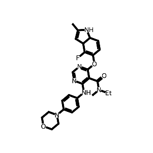 CCN(C)C(=O)c1c(Nc2ccc(N3CCOCC3)cc2)ncnc1OC1=C(F)C2C=C(C)NC2C=C1